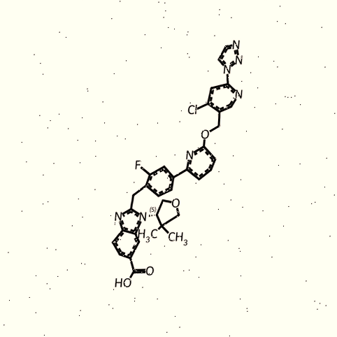 CC1(C)COC[C@H]1n1c(Cc2ccc(-c3cccc(OCc4cnc(-n5ccnn5)cc4Cl)n3)cc2F)nc2ccc(C(=O)O)cc21